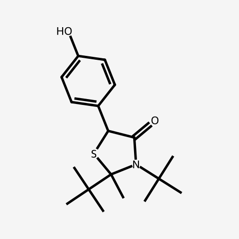 CC(C)(C)N1C(=O)C(c2ccc(O)cc2)SC1(C)C(C)(C)C